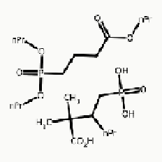 CCCC(CP(=O)(O)O)C(C)(C)C(=O)O.CCCOC(=O)CCCP(=O)(OCCC)OCCC